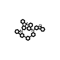 CC1(C)c2ccccc2-c2cc(-n3c4ccccc4c4ccc(-c5cccc(-c6cccc(N(c7ccc8oc9ccccc9c8c7)c7cccc8ccccc78)c6)c5)cc43)ccc21